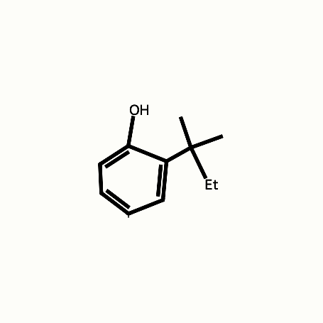 CCC(C)(C)c1c[c]ccc1O